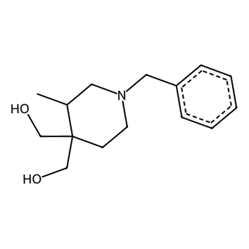 CC1CN(Cc2ccccc2)CCC1(CO)CO